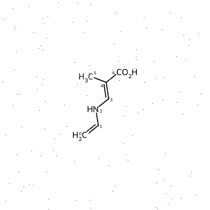 C=CNC=C(C)C(=O)O